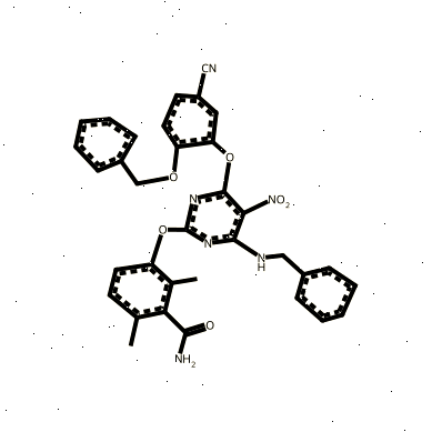 Cc1ccc(Oc2nc(NCc3ccccc3)c([N+](=O)[O-])c(Oc3cc(C#N)ccc3OCc3ccccc3)n2)c(C)c1C(N)=O